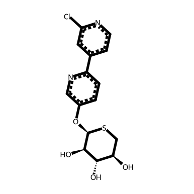 O[C@@H]1[C@@H](O)[C@@H](Oc2ccc(-c3ccnc(Cl)c3)nc2)SC[C@H]1O